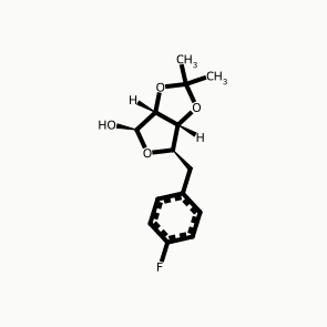 CC1(C)O[C@@H]2[C@H](O1)[C@@H](Cc1ccc(F)cc1)O[C@H]2O